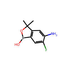 CC1(C)OB(O)c2cc(F)c(N)cc21